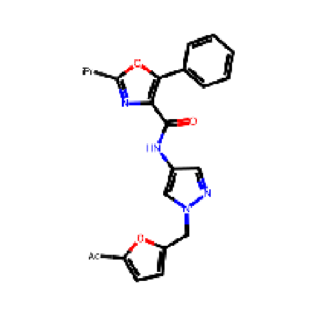 CC(=O)c1ccc(Cn2cc(NC(=O)c3nc(C(C)C)oc3-c3ccccc3)cn2)o1